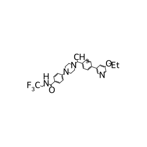 CCOc1cncc(-c2ccc(C(C)N3CCN(c4ccc(C(=O)NCC(F)(F)F)cc4)CC3)cc2)c1